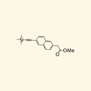 COC(=O)Cc1ccc2cc(C#C[Si](C)(C)C)ccc2c1